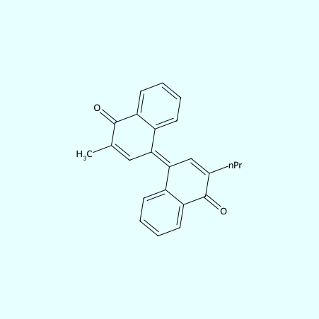 CCCC1=C/C(=C2/C=C(C)C(=O)c3ccccc32)c2ccccc2C1=O